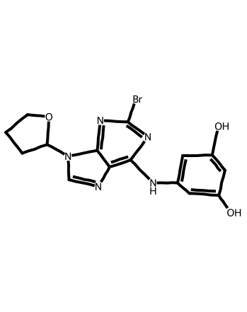 Oc1cc(O)cc(Nc2nc(Br)nc3c2ncn3C2CCCO2)c1